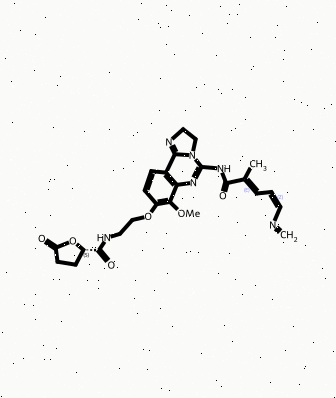 C=N/C=C\C=C(/C)C(=O)NC1=Nc2c(ccc(OCCNC(=O)[C@@H]3CCC(=O)O3)c2OC)C2=NCCN12